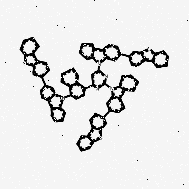 c1ccc2c(c1)sc1cc(-c3ccc4c5ccccc5n(-c5cc(-c6ccc(-n7c8ccccc8c8ccc(-c9ccc%10c(c9)sc9ccccc9%10)cc87)c7ccccc67)nc(-n6c7ccccc7c7ccc(-c8ccc9c(c8)sc8ccccc89)cc76)n5)c4c3)ccc12